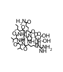 CC[C@H](C)[C@H](NC(=O)[C@@H](NC(=O)[C@@H](NC(=O)[C@@H](N)CCCNC(=N)N)C(C)C)C(C)C)C(=O)N[C@@H](CCC(N)=O)C(=O)N1CCC[C@H]1C(=O)N[C@@H](CO)C(=O)O